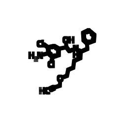 C#CCOCCCCCC(Cc1ccccc1)NCC(O)c1cc(Cl)c(N)c(Cl)c1